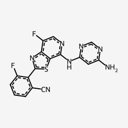 N#Cc1cccc(F)c1-c1nc2c(F)cnc(Nc3cc(N)ncn3)c2s1